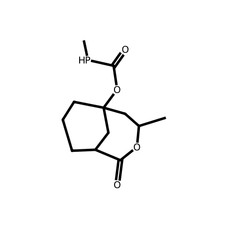 CPC(=O)OC12CCCC(C1)C(=O)OC(C)C2